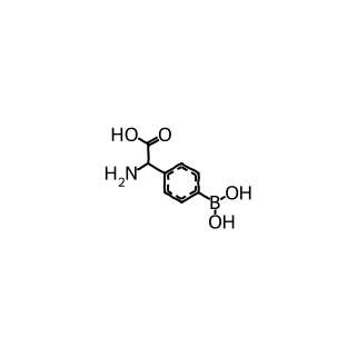 NC(C(=O)O)c1ccc(B(O)O)cc1